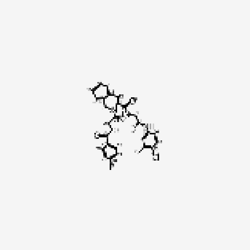 Cc1cc(NC(=O)CNC(=O)C2Cc3ccccc3CN2C(=O)CCC(=O)c2ccc(F)cc2)ccc1Cl